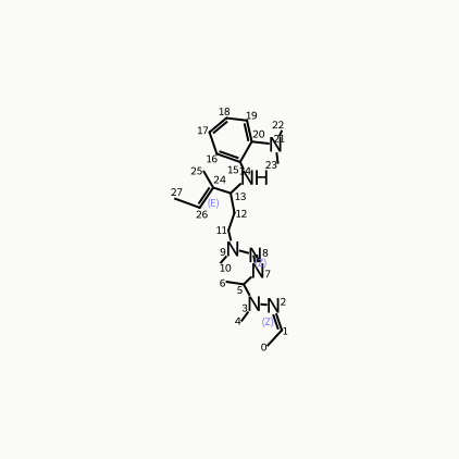 C/C=N\N(C)C(C)/N=N\N(C)CCC(Nc1ccccc1N(C)C)/C(C)=C/C